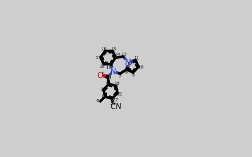 Cc1cc(C(=O)N2Cc3cccn3Cc3ccccc32)ccc1C#N